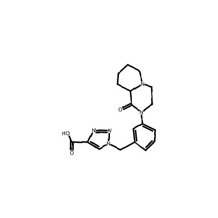 O=C(O)c1cn(Cc2cccc(N3CCN4CCCCC4C3=O)c2)nn1